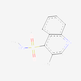 CCCCCNS(=O)(=O)c1c([N+](=O)[O-])cnc2ccccc12